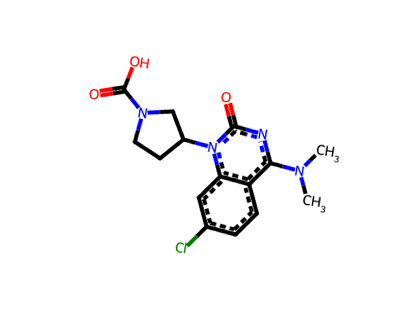 CN(C)c1nc(=O)n(C2CCN(C(=O)O)C2)c2cc(Cl)ccc12